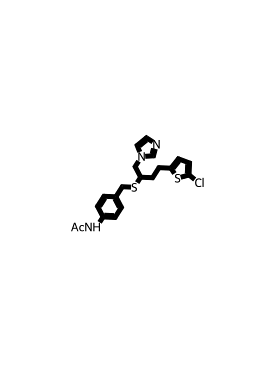 CC(=O)Nc1ccc(CSC(CCc2ccc(Cl)s2)Cn2ccnc2)cc1